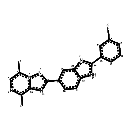 Cc1ncc(C)n2nc(-c3ccc4[nH]c(-c5cccc(F)c5)nc4c3)nc12